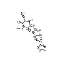 CCN1C(=O)C(C#N)=C(C)/C(=C/c2cc3oc(-c4nccs4)nc3s2)C1=O